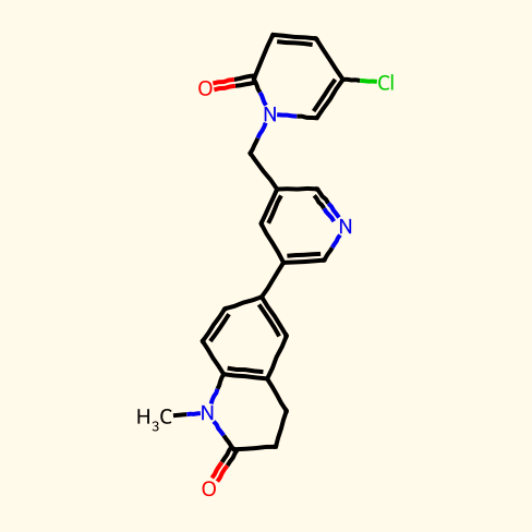 CN1C(=O)CCc2cc(-c3cncc(Cn4cc(Cl)ccc4=O)c3)ccc21